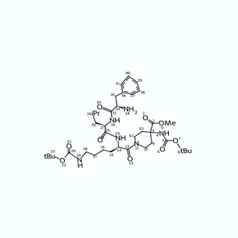 COC(=O)C1(NC(=O)OC(C)(C)C)CCN(C(=O)[C@@H](CCCCNC(=O)OC(C)(C)C)NC(=O)[C@@H](CC(C)C)NC(=O)[C@H](N)Cc2ccccc2)CC1